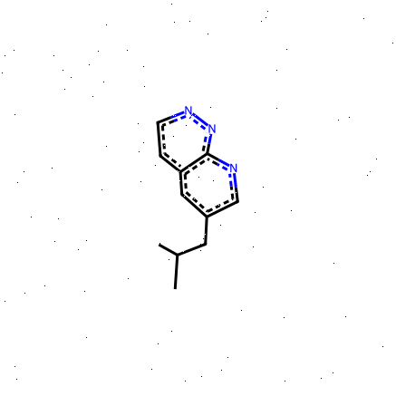 CC(C)Cc1cnc2nnccc2c1